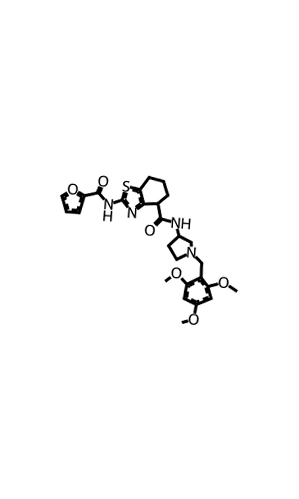 COc1cc(OC)c(CN2CCC(NC(=O)C3CCCc4sc(NC(=O)c5ccco5)nc43)C2)c(OC)c1